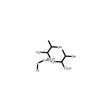 CC(O)C(N)C(=O)O.CC(O)C(N)C(=O)O.CCOC=O